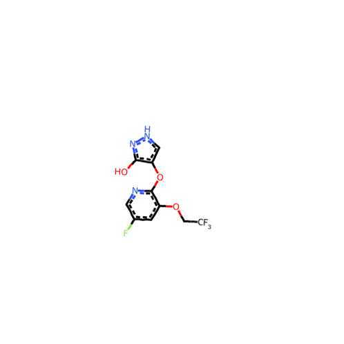 Oc1n[nH]cc1Oc1ncc(F)cc1OCC(F)(F)F